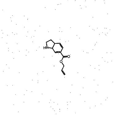 C=CCOC(=O)C1=CC2NCCC2C=C1